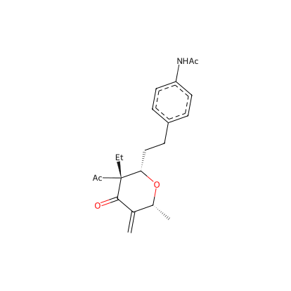 C=C1C(=O)[C@](CC)(C(C)=O)[C@H](CCc2ccc(NC(C)=O)cc2)O[C@@H]1C